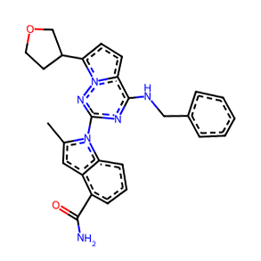 Cc1cc2c(C(N)=O)cccc2n1-c1nc(NCc2ccccc2)c2ccc(C3CCOC3)n2n1